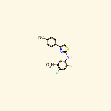 Cc1cc(F)c([N+](=O)[O-])cc1Nc1nc(-c2ccc(C#N)cc2)cs1